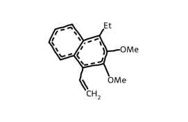 C=Cc1c(OC)c(OC)c(CC)c2ccccc12